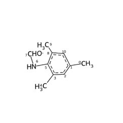 Cc1cc(C)c(N[C]=O)c(C)c1